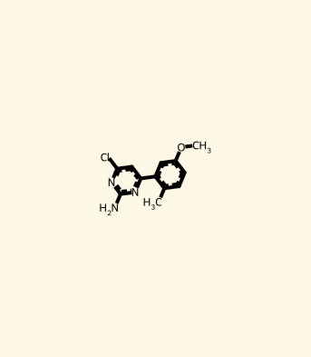 COc1ccc(C)c(-c2cc(Cl)nc(N)n2)c1